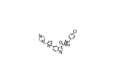 CN1CCN(Cc2csc(-c3ccc4c(c3)c(C(=O)NN=Cc3ccc(Cl)cc3)cn4C)n2)CC1